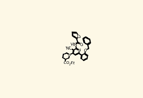 CCOC(=O)C1CCCN(c2cc(-c3ccccc3OCc3ccccc3)nc(NC(=O)c3ccco3)c2C#N)C1